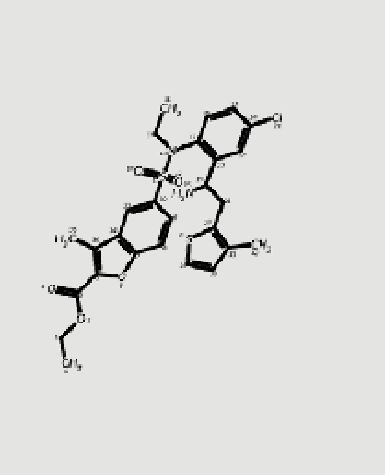 CCOC(=O)c1oc2ccc(S(=O)(=O)N(CC)c3ccc(Cl)cc3C(N)Cc3sccc3C)cc2c1C